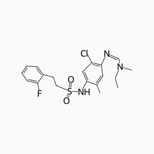 CCN(C)/C=N\c1cc(C)c(NS(=O)(=O)CCc2ccccc2F)cc1Cl